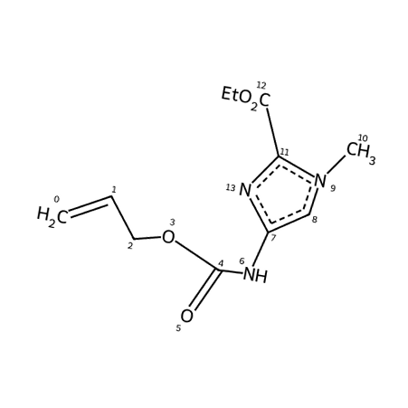 C=CCOC(=O)Nc1cn(C)c(C(=O)OCC)n1